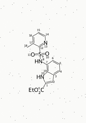 CCOC(=O)c1cc2cccc(NS(=O)(=O)c3ncccc3C)c2[nH]1